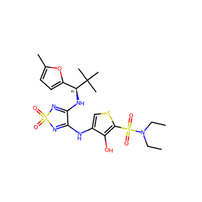 CCN(CC)S(=O)(=O)c1scc(NC2=NS(=O)(=O)N=C2N[C@@H](c2ccc(C)o2)C(C)(C)C)c1O